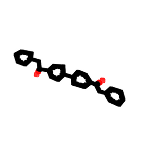 O=C(Cc1ccccc1)c1ccc(-c2ccc(C(=O)Cc3ccccc3)cc2)cc1